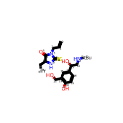 C=CCN1C(=O)C(CC(C)C)NC1=S.CC(C)(C)NCC(O)c1ccc(O)c(CO)c1